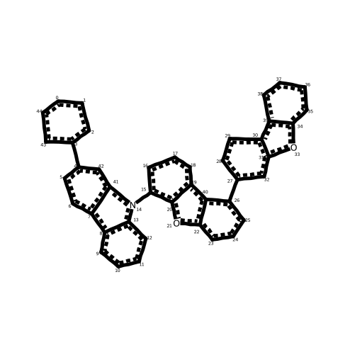 c1ccc(-c2ccc3c4ccccc4n(-c4cccc5c4oc4cccc(-c6ccc7c(c6)oc6ccccc67)c45)c3c2)cc1